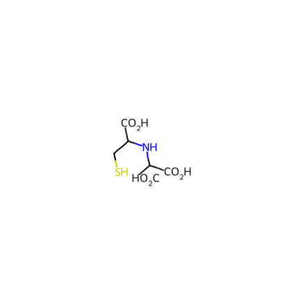 O=C(O)C(CS)NC(C(=O)O)C(=O)O